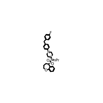 CCCN(N1CCN(c2ccc(Cc3ccc(F)cc3)cc2)CC1)S(=O)(=O)C1CCCOc2ccccc21